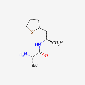 CCC(C)[C@H](N)C(=O)N[C@@H](CC1CCCS1)C(=O)O